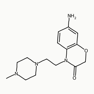 CN1CCN(CCN2C(=O)COc3cc(N)ccc32)CC1